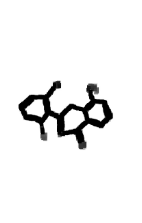 Cc1cccc2c1CC(c1c(Cl)cccc1Cl)=NC2=O